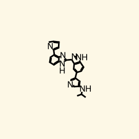 CC(C)Nc1cncc(-c2ccc3[nH]nc(-c4nc5c(-c6ccccn6)cccc5[nH]4)c3c2)c1